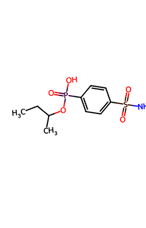 CCC(C)OP(=O)(O)c1ccc(S(N)(=O)=O)cc1